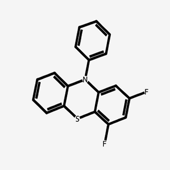 Fc1cc(F)c2c(c1)N(c1ccccc1)c1ccccc1S2